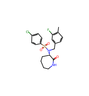 Cc1ccc(CN([C@@H]2CCCCNC2=O)S(=O)(=O)c2ccc(Cl)cc2)cc1F